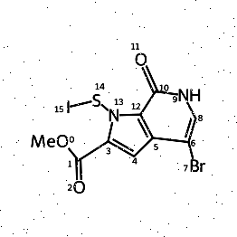 COC(=O)c1cc2c(Br)c[nH]c(=O)c2n1SI